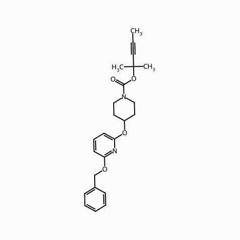 CC#CC(C)(C)OC(=O)N1CCC(Oc2cccc(OCc3ccccc3)n2)CC1